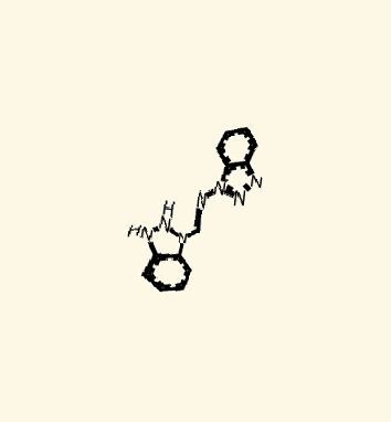 C(=Nn1nnc2ccccc21)N1NNc2ccccc21